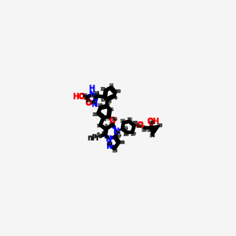 CCCc1c(Cc2ccc(-c3ccccc3C3=NOC(O)N3)cc2)c(=O)n([C@H]2CC[C@H](OCC3(O)CC3)CC2)c2ccnn12